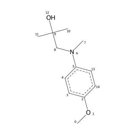 COc1ccc(N(C)CC(C)(C)O)cc1